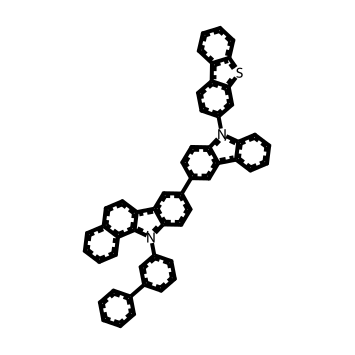 c1ccc(-c2cccc(-n3c4ccc(-c5ccc6c(c5)c5ccccc5n6-c5ccc6c(c5)sc5ccccc56)cc4c4ccc5ccccc5c43)c2)cc1